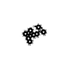 Cc1ccc(C)c(N(c2ccccc2)c2ccc3cc4c(cc3c2)C2(c3ccccc3-c3ccccc32)c2ccc3ccccc3c2-4)c1